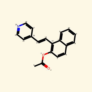 CC(=O)Oc1ccc2ccccc2c1C=Cc1ccncc1